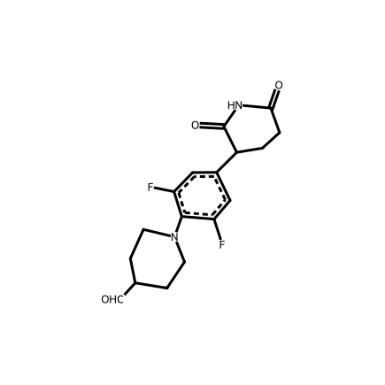 O=CC1CCN(c2c(F)cc(C3CCC(=O)NC3=O)cc2F)CC1